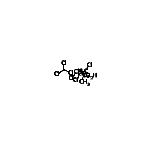 CC(=O)O.CCl.ClC(Cl)(Cl)Cl.ClC(Cl)(Cl)Cl.ClC(Cl)Cl